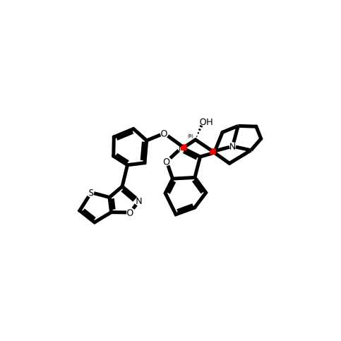 O[C@@H](COc1cccc(-c2noc3ccsc23)c1)CN1C2CCC1CC(c1noc3ccccc13)C2